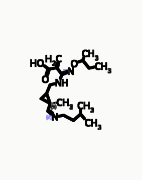 C=C(C(=O)O)/C(=N\OC(C)CC)NCC1C[C@]1(C)/C=N\CCC(C)C